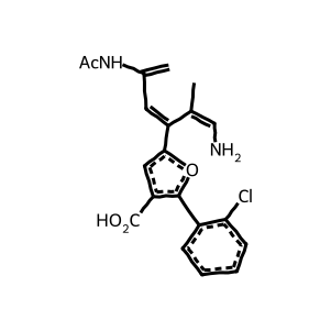 C=C(/C=C(\C(C)=C/N)c1cc(C(=O)O)c(-c2ccccc2Cl)o1)NC(C)=O